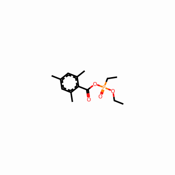 CCOP(=O)(CC)OC(=O)c1c(C)cc(C)cc1C